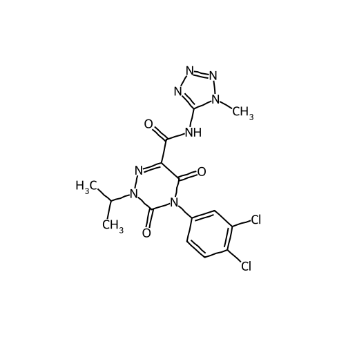 CC(C)n1nc(C(=O)Nc2nnnn2C)c(=O)n(-c2ccc(Cl)c(Cl)c2)c1=O